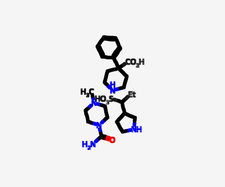 CCC(C1CCNC1)S(=O)(=O)O.CN1CCN(C(N)=O)CC1.O=C(O)C1(c2ccccc2)CCNCC1